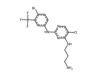 NCCCNc1nc(Nc2ccc(Br)c(C(F)(F)F)c2)ncc1Cl